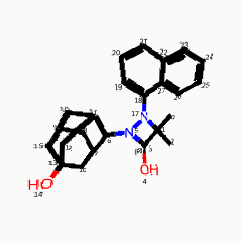 CC1(C)[C@@H](O)N(C2C3CC4CC2CC(O)(C4)C3)N1c1cccc2ccccc12